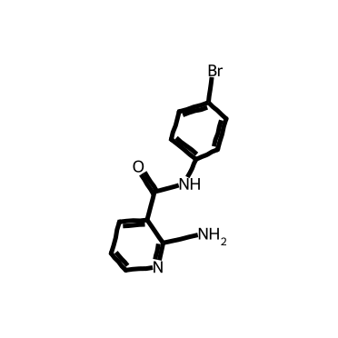 Nc1ncccc1C(=O)Nc1ccc(Br)cc1